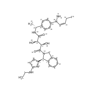 CCNc1nc([C@@H]2c3ccccc3CN2C(=O)[C@H](O)[C@@H](O)C(=O)N[C@H](C)c2ccc(N(N)/C=C\CI)cc2)cs1